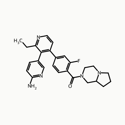 CCc1nccc(-c2ccc(C(=O)N3CCN4CCCC4C3)c(F)c2)c1-c1ccc(N)nc1